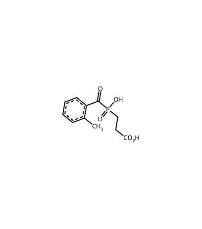 Cc1ccccc1C(=O)P(=O)(O)CCC(=O)O